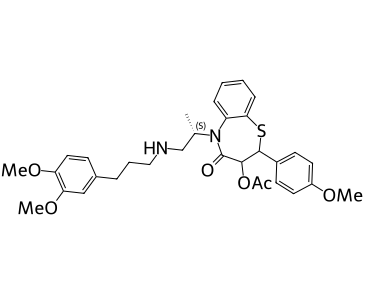 COc1ccc(C2Sc3ccccc3N([C@@H](C)CNCCCc3ccc(OC)c(OC)c3)C(=O)C2OC(C)=O)cc1